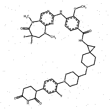 COc1cc(C(=O)NC2CC23CCN(CC2CCN(c4ccc(C5CCC(=O)NC5=O)cc4F)CC2)CC3)ccc1Nc1ncc2c(n1)N(C)CC(F)(F)C(=O)N2C